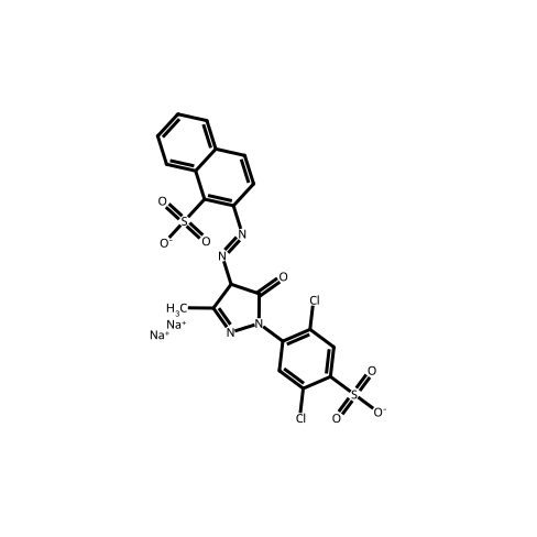 CC1=NN(c2cc(Cl)c(S(=O)(=O)[O-])cc2Cl)C(=O)C1N=Nc1ccc2ccccc2c1S(=O)(=O)[O-].[Na+].[Na+]